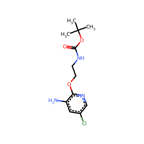 CC(C)(C)OC(=O)NCCOc1ncc(Cl)cc1N